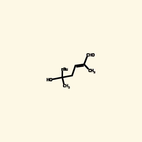 CCCCC(C)(O)C/C=C(\C)C=O